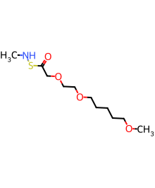 CNSC(=O)COCCOCCCCCOC